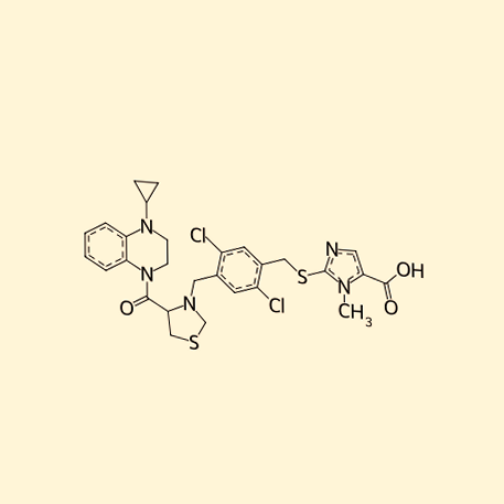 Cn1c(C(=O)O)cnc1SCc1cc(Cl)c(CN2CSCC2C(=O)N2CCN(C3CC3)c3ccccc32)cc1Cl